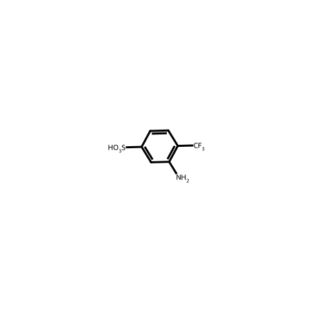 Nc1cc(S(=O)(=O)O)ccc1C(F)(F)F